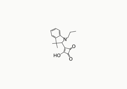 CCCN1c2ccccc2C(C)(C)C1c1c(O)c(=O)c1=O